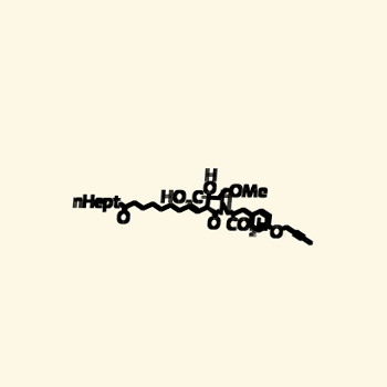 CC#CCOc1ccc(C[C@H](NC(=O)[C@@H](/C=C/CCCCCCC(=O)CCCCCCC)[C@@](O)(CCOC)C(=O)O)C(=O)O)cc1